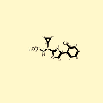 O=C(O)NN(c1nc(-c2ccccc2Cl)cs1)C1CC1